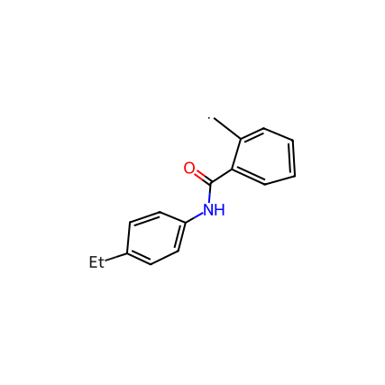 [CH2]c1ccccc1C(=O)Nc1ccc(CC)cc1